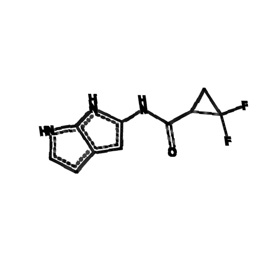 O=C(Nc1cc2cc[nH]c2[nH]1)C1CC1(F)F